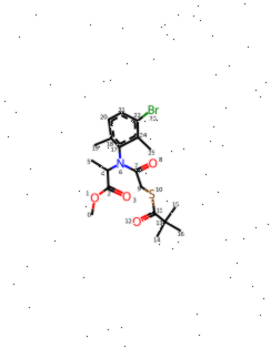 COC(=O)C(C)N(C(=O)CSC(=O)C(C)(C)C)c1c(C)ccc(Br)c1C